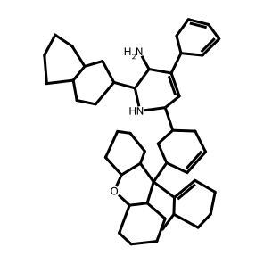 CC1CCCC=C1C1(C2C=CCC(C3C=C(C4C=CC=CC4)C(N)C(C4CCC5CCCCC5C4)N3)C2)C2CCCCC2OC2CCCCC21